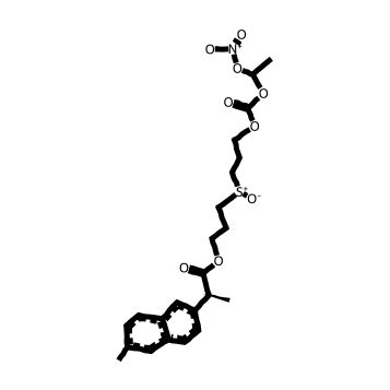 Cc1ccc2cc([C@H](C)C(=O)OCCC[S+]([O-])CCCOC(=O)OC(C)O[N+](=O)[O-])ccc2c1